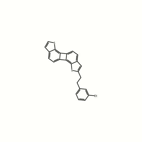 CCc1cccc(CCc2cc3ccc4c(c3s2)-c2ccc3ccsc3c2-4)c1